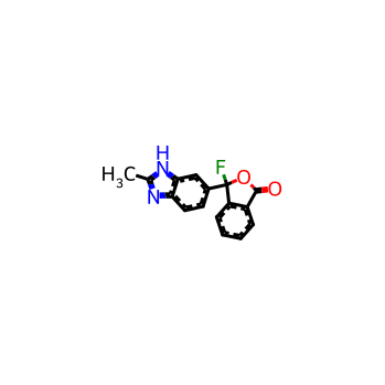 Cc1nc2ccc(C3(F)OC(=O)c4ccccc43)cc2[nH]1